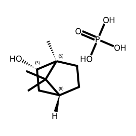 CC1(C)[C@@H]2CC[C@]1(C)[C@@H](O)C2.O=P(O)(O)O